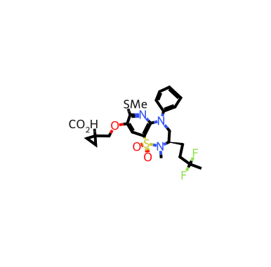 CSc1nc2c(cc1OCC1(C(=O)O)CC1)S(=O)(=O)N(C)[C@H](CCC(C)(F)F)CN2c1ccccc1